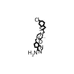 C[C@@H]1C(=O)N(Cc2ccc3c(N)ncnc3c2)CCN1Cc1cc2ccc(Cl)cc2s1